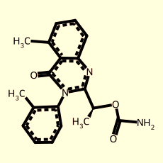 Cc1ccccc1-n1c([C@H](C)OC(N)=O)nc2cccc(C)c2c1=O